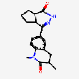 CC1Cc2cc(C3=NNC(=O)C4CCCC34)ccc2N(C)C1=O